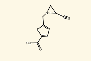 N#CC1CN1Cc1ccc(C(=O)O)s1